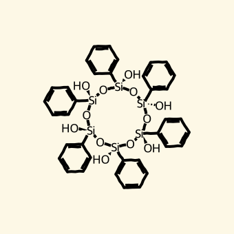 O[Si@]1(c2ccccc2)O[Si@](O)(c2ccccc2)O[Si@@](O)(c2ccccc2)O[Si@@](O)(c2ccccc2)O[Si@@](O)(c2ccccc2)O[Si@@](O)(c2ccccc2)O1